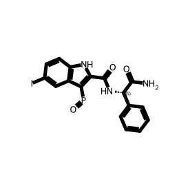 NC(=O)[C@@H](NC(=O)c1[nH]c2ccc(I)cc2c1P=O)c1ccccc1